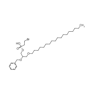 CCCCCCCCCCCCCCCCCCOCC(COP(=O)(O)CCBr)OCc1ccccc1